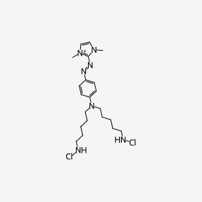 Cn1cc[n+](C)c1/N=N/c1ccc(N(CCCCCNCl)CCCCCNCl)cc1